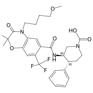 COCCCCN1C(=O)C(C)(C)Oc2cc(C(F)(F)F)c(C(=O)N[C@H]3CN(C(=O)O)CC[C@@H]3c3ccccc3)cc21